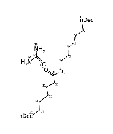 CCCCCCCCCCCCCCCCOC(=O)CCCCCCCCCCCCCCC.NC(N)=O